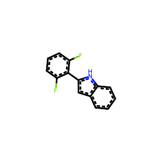 Fc1cccc(F)c1-c1cc2ccccc2[nH]1